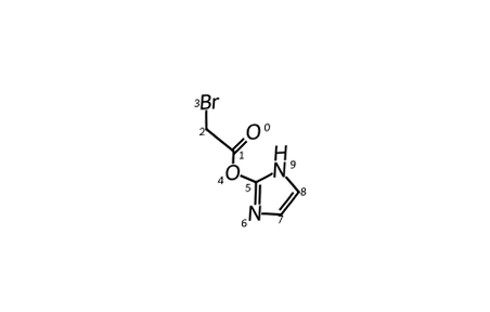 O=C(CBr)Oc1ncc[nH]1